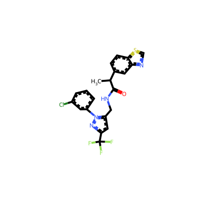 CC(C(=O)NCc1cc(C(F)(F)F)nn1-c1cccc(Cl)c1)c1ccc2scnc2c1